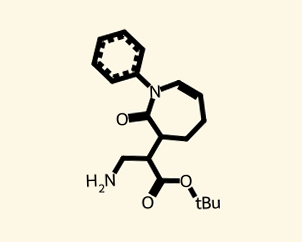 CC(C)(C)OC(=O)C(CN)C1CCC=CN(c2ccccc2)C1=O